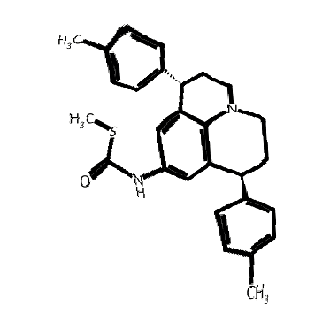 CSC(=O)Nc1cc2c3c(c1)[C@H](c1ccc(C)cc1)CCN3CC[C@H]2c1ccc(C)cc1